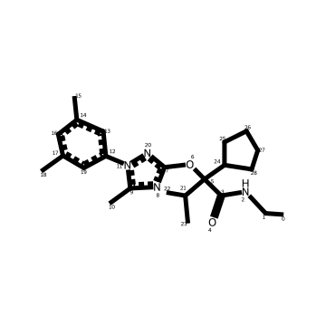 CCNC(=O)C(Oc1nc(C)n(-c2cc(C)cc(C)c2)n1)(C(C)C)C1CCCC1